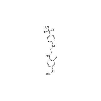 CCCCOc1ccc(NCCNc2ccc(S(N)(=O)=O)cc2)c(F)c1